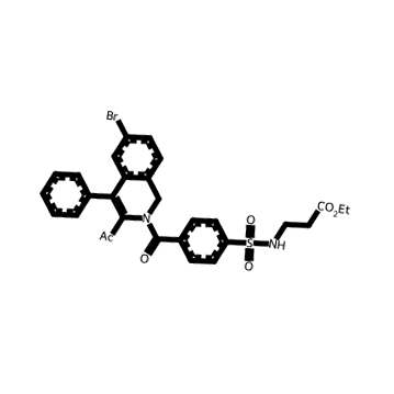 CCOC(=O)CCNS(=O)(=O)c1ccc(C(=O)N2Cc3ccc(Br)cc3C(c3ccccc3)=C2C(C)=O)cc1